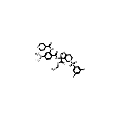 CCOC(=O)C1(NC(=O)c2ccc(N(C)C)cc2NC(=O)C2CCOCC2)N=NC2=C1CN(S(=O)(=O)c1cc(F)cc(F)c1)CC2